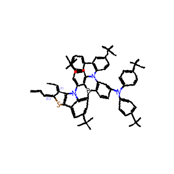 C=C/C=c1/sc2c3cc(C(C)(C)C)cc4c3n(c2/c1=C/C)-c1cc(C(C)(C)C)cc2c1B4c1ccc(N(c3ccc(C(C)(C)C)cc3)c3ccc(C(C)(C)C)cc3)cc1N2c1ccc(C(C)(C)C)cc1-c1ccccc1